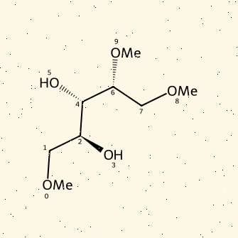 COC[C@H](O)[C@H](O)[C@@H](COC)OC